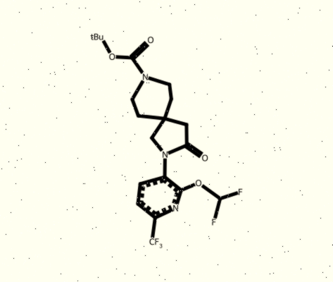 CC(C)(C)OC(=O)N1CCC2(CC1)CC(=O)N(c1ccc(C(F)(F)F)nc1OC(F)F)C2